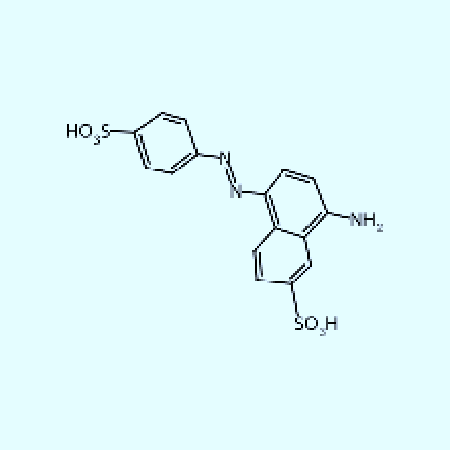 Nc1ccc(/N=N/c2ccc(S(=O)(=O)O)cc2)c2ccc(S(=O)(=O)O)cc12